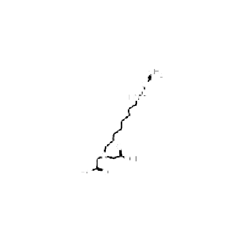 C=COONCCCCCCCCN(CC(=O)O)CC(=O)O